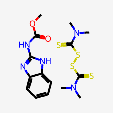 CN(C)C(=S)SSC(=S)N(C)C.COC(=O)Nc1nc2ccccc2[nH]1